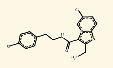 CCc1nc2ccc(Cl)cn2c1C(=O)NCCc1ccc(Cl)cc1